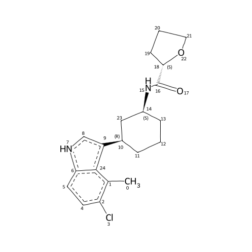 Cc1c(Cl)ccc2[nH]cc([C@@H]3CCC[C@H](NC(=O)[C@@H]4CCCO4)C3)c12